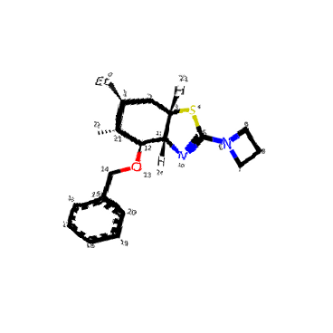 CC[C@H]1C[C@@H]2SC(N3CCC3)=N[C@@H]2[C@@H](OCc2ccccc2)[C@@H]1C